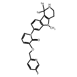 [2H]C1([2H])NCCc2c1c1ccc(-n3cccc(OCc4ccc(F)cn4)c3=O)cc1n2C